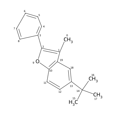 Cc1c(-c2ccccc2)oc2ccc(C(C)(C)C)cc12